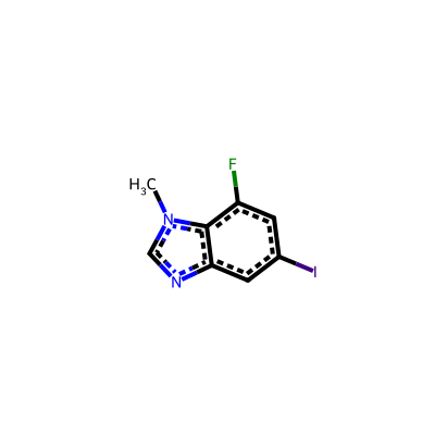 Cn1cnc2cc(I)cc(F)c21